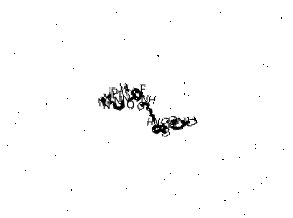 CC(C)n1cnnc1-c1cccc(NC(=O)c2cc(NC(=O)CCCCCCNc3cccc4c3C(=O)N(C3CCC(=O)NC3=O)C4=O)c(F)cc2F)n1